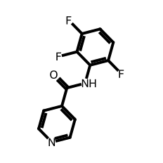 O=C(Nc1c(F)ccc(F)c1F)c1ccncc1